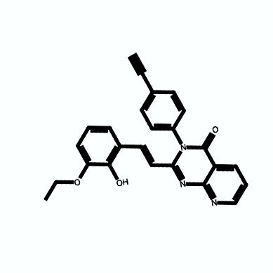 C#Cc1ccc(-n2c(/C=C/c3cccc(OCC)c3O)nc3ncccc3c2=O)cc1